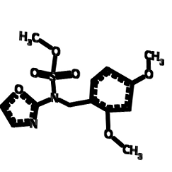 COc1ccc(CN(c2ncco2)S(=O)(=O)OC)c(OC)c1